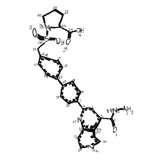 NNC(=O)c1cc(-c2ccc(-c3ccc(CS(=O)(=O)N4CCCC4C(=O)O)cc3)cc2)nc2ccncc12